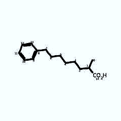 CC(CCCCCCc1ccccc1)C(=O)O